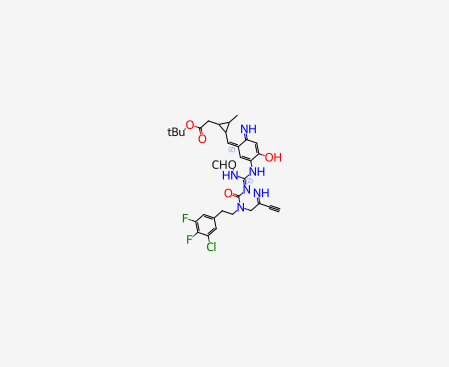 C#CC(=N)CN(CCc1cc(F)c(F)c(Cl)c1)C(=O)/N=C(\NC=O)NC1=C/C(=C/C2C(C)C2CC(=O)OC(C)(C)C)C(=N)C=C1O